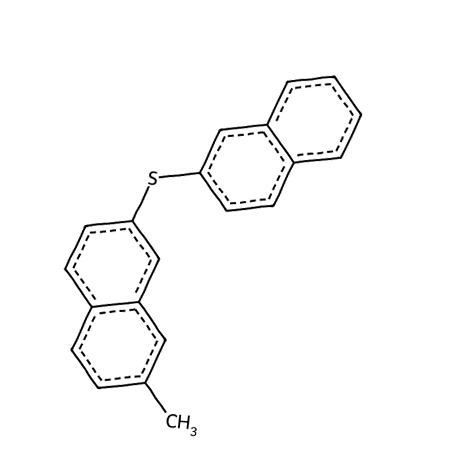 Cc1ccc2ccc(Sc3ccc4ccccc4c3)cc2c1